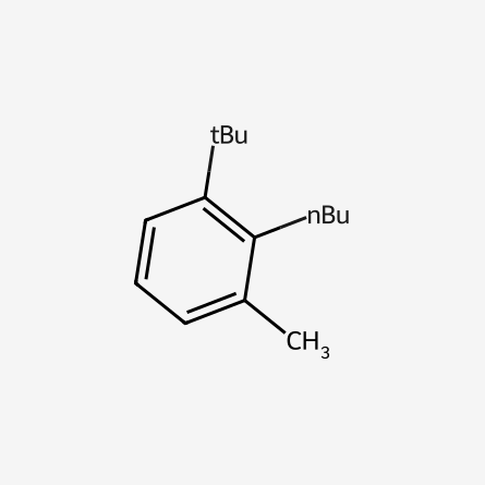 [CH2]CCCc1c(C)cccc1C(C)(C)C